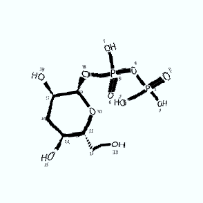 O=P(O)(O)OP(=O)(O)O[C@H]1O[C@H](CO)[C@@H](O)C[C@H]1O